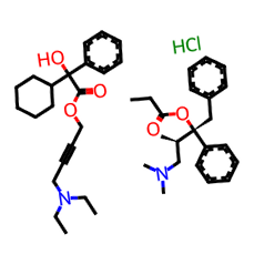 CCC(=O)O[C@](Cc1ccccc1)(c1ccccc1)[C@H](C)CN(C)C.CCN(CC)CC#CCOC(=O)C(O)(c1ccccc1)C1CCCCC1.Cl